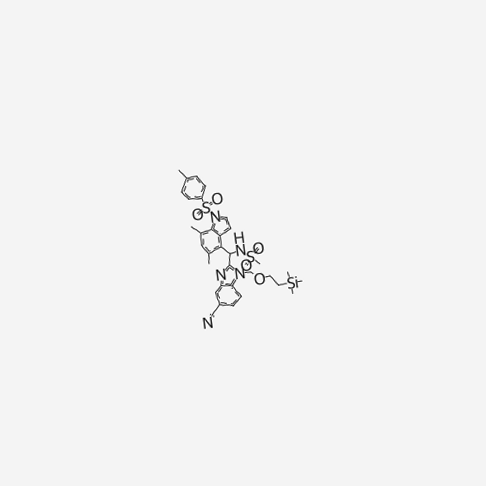 Cc1ccc(S(=O)(=O)n2ccc3c(C(NS(C)(=O)=O)c4nc5cc(C#N)ccc5n4COCC[Si](C)(C)C)c(C)cc(C)c32)cc1